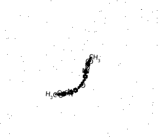 CCCC(=O)Oc1ccc(OCc2ncc(C3CCC(CCCCC(=O)CCCC[C@H]4CC[C@H](c5cnc(COc6ccc(OC(=O)CCC)cc6)nc5)CC4)CC3)cn2)cc1